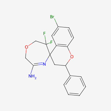 NC1=NC2(CC(c3ccccc3)Oc3ccc(Br)cc32)C(F)(F)COC1